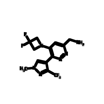 Cn1cc(-c2nnc(CN)cc2N2CC(F)(F)C2)c(C(F)(F)F)n1